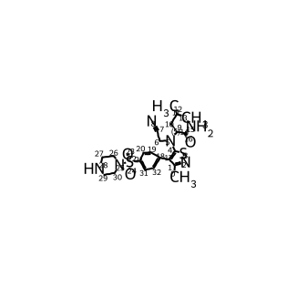 Cc1nsc(N(CC#N)[C@@H](CC(C)C)C(N)=O)c1-c1ccc(S(=O)(=O)N2CCNCC2)cc1